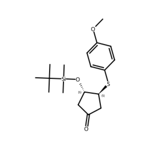 COc1ccc(S[C@H]2CC(=O)C[C@@H]2O[Si](C)(C)C(C)(C)C)cc1